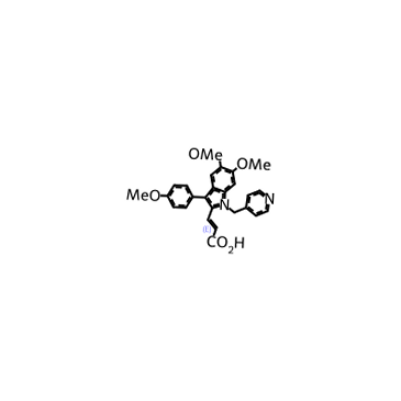 COc1ccc(-c2c(/C=C/C(=O)O)n(Cc3ccncc3)c3cc(OC)c(OC)cc23)cc1